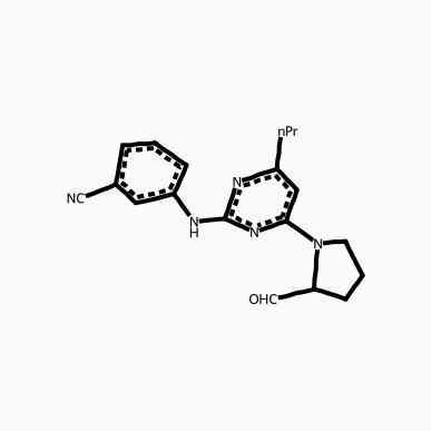 CCCc1cc(N2CCCC2C=O)nc(Nc2cccc(C#N)c2)n1